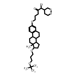 CCC(C(=O)CCCOc1ccc2c(c1)CCC1C2CCC2(C)C(OCCCOC(C(F)(F)F)(C(F)(F)F)C(F)(F)F)CCC12)C1CCSSC1